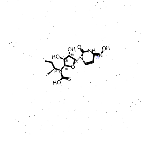 CC[C@H](C)N(C(O)=S)[C@@H]1O[C@@H](n2cc/c(=N/O)[nH]c2=O)[C@H](O)[C@@H]1O